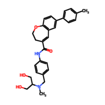 Cc1ccc(-c2ccc3c(c2)C=C(C(=O)Nc2ccc(CN(C)C(CO)CO)cc2)CCO3)cc1